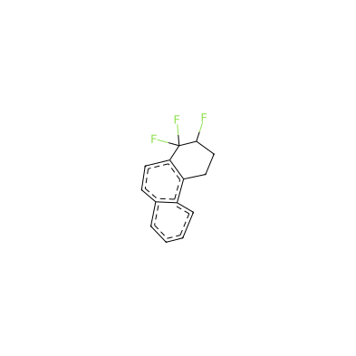 FC1CCc2c(ccc3ccccc23)C1(F)F